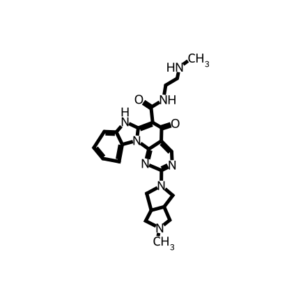 CNCCNC(=O)c1c(=O)c2cnc(N3CC4CN(C)CC4C3)nc2n2c1[nH]c1ccccc12